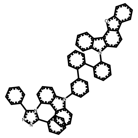 c1ccc(-c2nnc(-c3ccccc3)n2-c2cccc3c2c2ccccc2n3-c2cccc(-c3ccccc3-c3ccccc3-n3c4ccccc4c4c5oc6ccccc6c5ccc43)c2)cc1